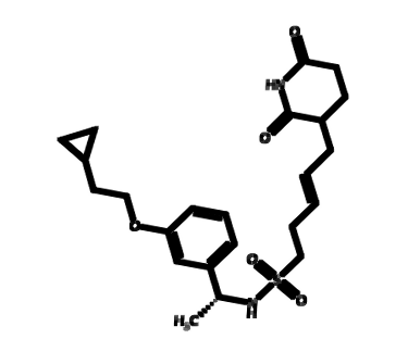 C[C@@H](NS(=O)(=O)CC/C=C/CC1CCC(=O)NC1=O)c1cccc(OCCC2CC2)c1